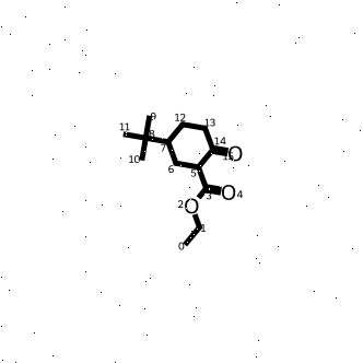 CCOC(=O)C1CC(C(C)(C)C)CCC1=O